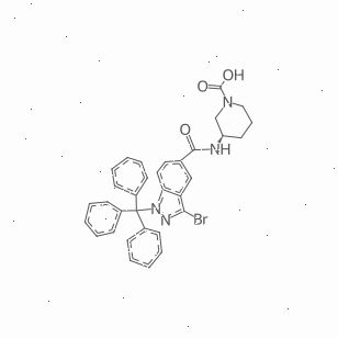 O=C(N[C@@H]1CCCN(C(=O)O)C1)c1ccc2c(c1)c(Br)nn2C(c1ccccc1)(c1ccccc1)c1ccccc1